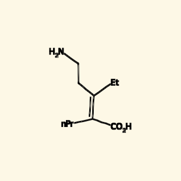 CCCC(C(=O)O)=C(CC)CCN